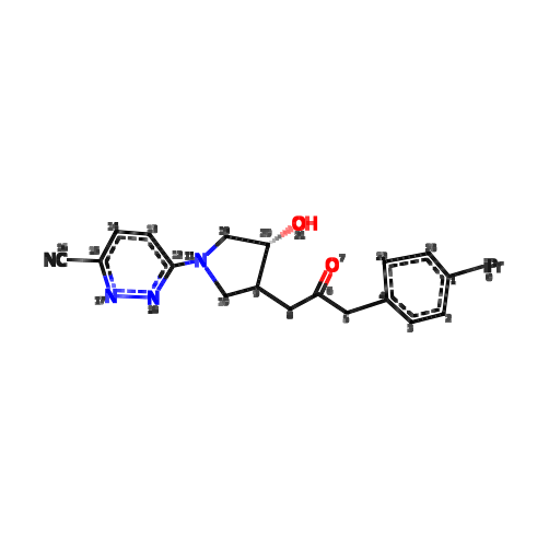 CC(C)c1ccc(CC(=O)CC2CN(c3ccc(C#N)nn3)C[C@@H]2O)cc1